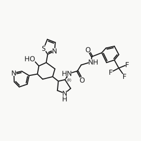 O=C(CNC(=O)c1cccc(C(F)(F)F)c1)N[C@H]1CNCC1C1CC(c2cccnc2)C(O)C(c2nccs2)C1